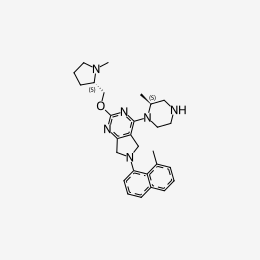 Cc1cccc2cccc(N3Cc4nc(OC[C@@H]5CCCN5C)nc(N5CCNC[C@@H]5C)c4C3)c12